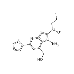 CCC[S+]([O-])c1sc2nc(-c3cccs3)cc(CO)c2c1N